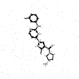 Cc1cccc(Nc2nccc(-n3cc(C(=O)N4CC[C@H](O)C4)c(C)n3)n2)c1